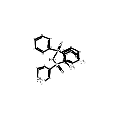 C/C=C\C(=C/C)P(=O)(NP(=O)(C(/C=C\C)=C/C)c1ccccc1)c1ccccc1